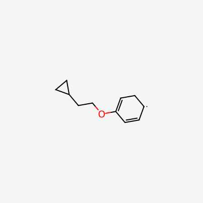 [CH]1C=CC(OCCC2CC2)=CC1